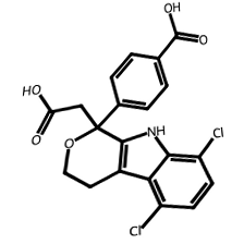 O=C(O)CC1(c2ccc(C(=O)O)cc2)OCCc2c1[nH]c1c(Cl)ccc(Cl)c21